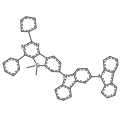 C[Si]1(C)c2cc(-n3c4ccccc4c4cc(-n5c6ccccc6c6ccccc65)ccc43)ccc2-c2nc(-c3ccccc3)nc(-c3ccccc3)c21